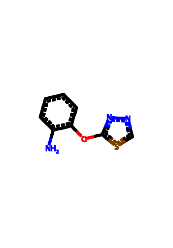 Nc1ccccc1Oc1nncs1